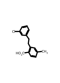 Cc1ccc(C(=O)O)c(CCc2cccc(Cl)c2)c1